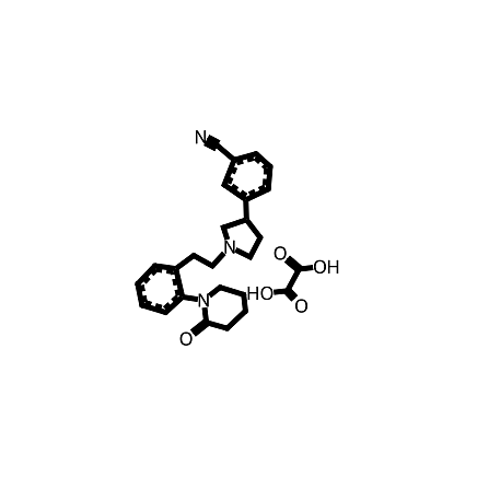 N#Cc1cccc(C2CCN(CCc3ccccc3N3CCCCC3=O)C2)c1.O=C(O)C(=O)O